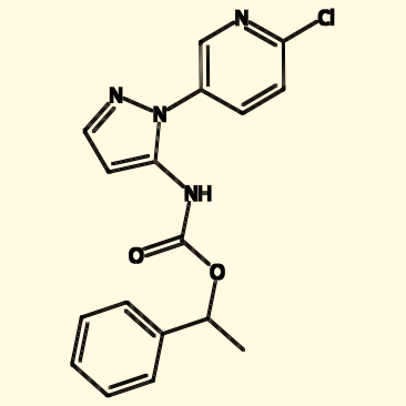 CC(OC(=O)Nc1ccnn1-c1ccc(Cl)nc1)c1ccccc1